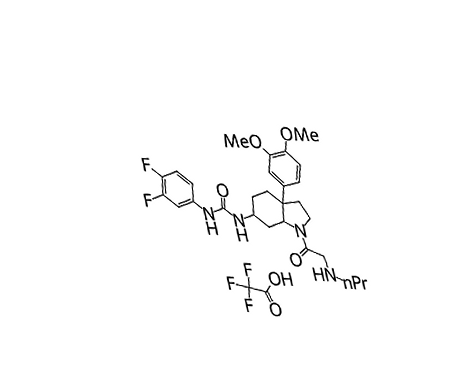 CCCNCC(=O)N1CCC2(c3ccc(OC)c(OC)c3)CCC(NC(=O)Nc3ccc(F)c(F)c3)CC12.O=C(O)C(F)(F)F